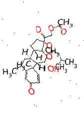 CC(=O)OCC(=O)[C@@]1(OC(=O)CC(C)C)CC[C@H]2[C@@H]3C[C@H](C)C4=CC(=O)C=C[C@]4(C)[C@H]3[C@@H](O)C[C@@]21C